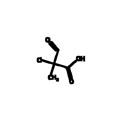 CC(Cl)(C=O)C(=O)O